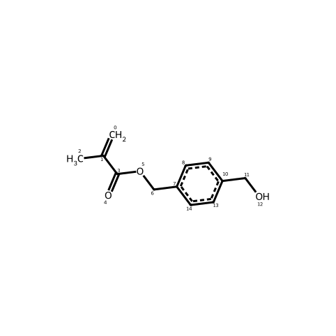 C=C(C)C(=O)OCc1ccc(CO)cc1